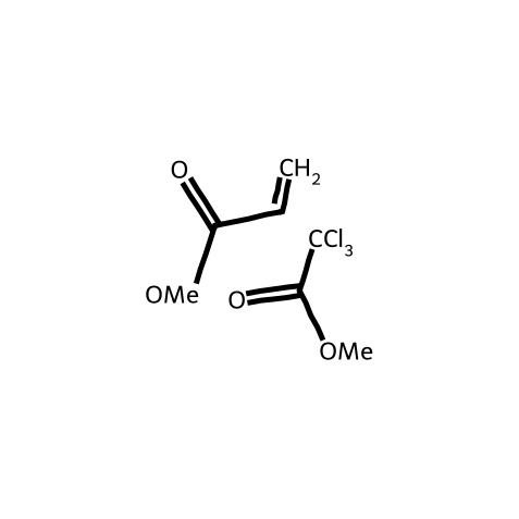 C=CC(=O)OC.COC(=O)C(Cl)(Cl)Cl